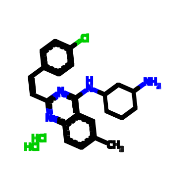 Cc1ccc2nc(/C=C\c3ccc(Cl)cc3)nc(NC3CCCC(N)C3)c2c1.Cl.Cl